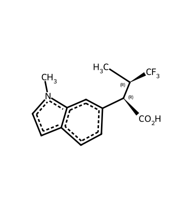 C[C@H]([C@@H](C(=O)O)c1ccc2ccn(C)c2c1)C(F)(F)F